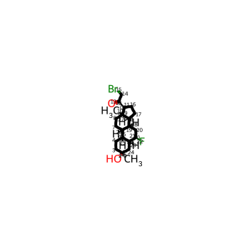 C[C@]1(O)CC[C@@H]2[C@H]3CC[C@]4(C)[C@@H](C(=O)CBr)CC[C@H]4[C@@H]3C[C@@H](F)[C@H]2C1